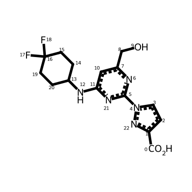 O=C(O)c1ccn(-c2nc(CO)cc(NC3CCC(F)(F)CC3)n2)n1